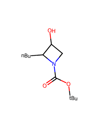 CCCCC1C(O)CN1C(=O)OC(C)(C)C